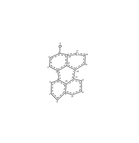 [O]c1ccc2c3cccc4cccc(c5cccc1c52)c43